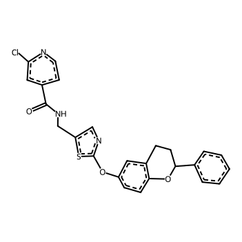 O=C(NCc1cnc(Oc2ccc3c(c2)CCC(c2ccccc2)O3)s1)c1ccnc(Cl)c1